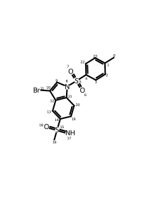 Cc1ccc(S(=O)(=O)n2cc(Br)c3cc(S(C)(=N)=O)ccc32)cc1